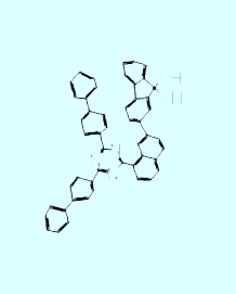 CC1(C)c2ccccc2-c2ccc(-c3ccc4cccc(-c5nc(-c6ccc(-c7ccccc7)cc6)nc(-c6ccc(-c7ccccc7)cc6)n5)c4c3)cc21